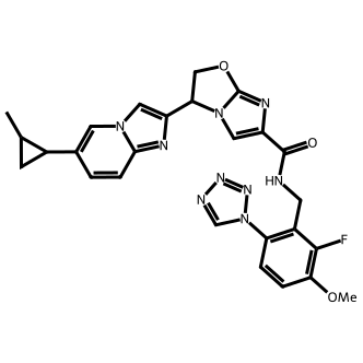 COc1ccc(-n2cnnn2)c(CNC(=O)c2cn3c(n2)OCC3c2cn3cc(C4CC4C)ccc3n2)c1F